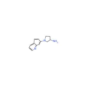 NC1CCN(c2ccc3cccnc3c2)C1